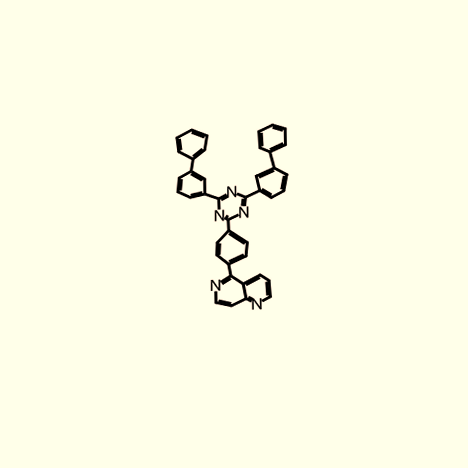 c1ccc(-c2cccc(-c3nc(-c4ccc(-c5nccc6ncccc56)cc4)nc(-c4cccc(-c5ccccc5)c4)n3)c2)cc1